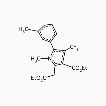 CCOC(=O)Cc1c(C(=O)OCC)c(C(F)(F)F)c(-c2cccc(C)c2)n1C